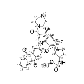 CN1CCN(C(=O)c2cn3c4cc5c(=O)c6ccccc6c(=O)c5cc4oc4c(N5CCC(NC(=O)OC(C)(C)C)C5)c(F)cc(c2=O)c43)CC1